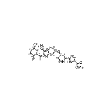 COC(=O)c1cnc(-c2cc(Oc3ccc4c(c3)nc(Nc3cc(C(F)(F)F)ccc3F)n4C)ccn2)[nH]1